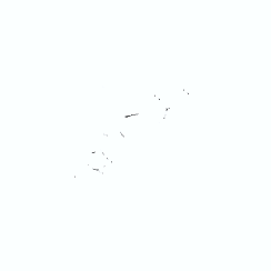 CC(C)C[C@@H](/C=C/C(=O)Nc1nnc(C(F)(F)F)s1)NC(=O)[C@@H]1CCCCN1